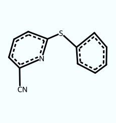 N#Cc1cccc(Sc2ccccc2)n1